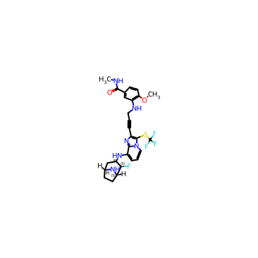 CNC(=O)c1ccc(OC)c(NCC#Cc2nc3c(N[C@@H]4C[C@H]5CC[C@H](N5)[C@@H]4F)cccn3c2SC(F)(F)F)c1